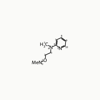 CNOCCN(C)c1ccccn1